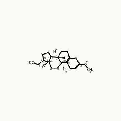 CC[C@H]1CC[C@H]2[C@@H]3CCC4=C(CC=C(OC)C4)[C@H]3CC[C@]12C